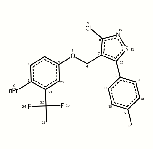 CCCc1ccc(OCc2c(Cl)nsc2-c2ccc(C)cc2)cc1C(C)(F)F